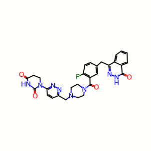 O=C1CCN(c2ccc(CN3CCN(C(=O)c4cc(Cc5n[nH]c(=O)c6ccccc56)ccc4F)CC3)nn2)C(=O)N1